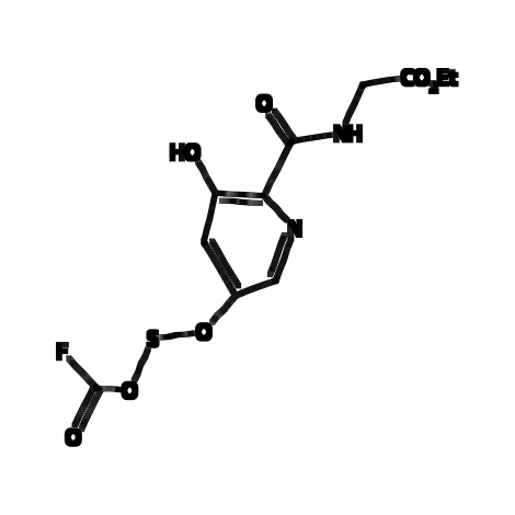 CCOC(=O)CNC(=O)c1ncc(OSOC(=O)F)cc1O